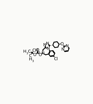 CC(C)(C)OC(=O)ON1Cc2cc(Cl)ccc2-n2c(nnc2[C@H]2CC[C@H](Oc3ncccn3)CC2)C1